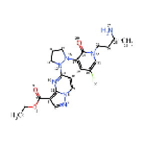 CCOC(=O)c1cnn2ccc(N3CCCN3c3cc(F)cn(CC[C@@H](C)N)c3=O)nc12